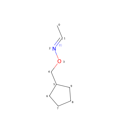 C/[C]=N/OCC1CCCC1